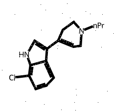 CCCN1CC=C(c2c[nH]c3c(Cl)cccc23)CC1